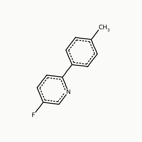 Cc1ccc(-c2ccc(F)cn2)cc1